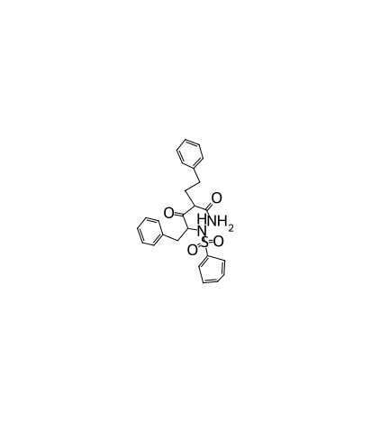 NC(=O)C(CCc1ccccc1)C(=O)C(Cc1ccccc1)NS(=O)(=O)c1ccccc1